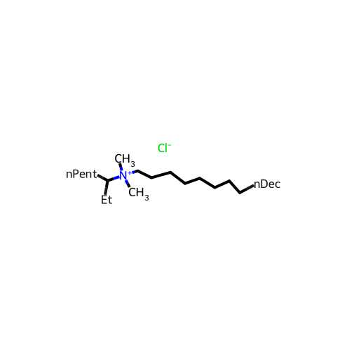 CCCCCCCCCCCCCCCCCC[N+](C)(C)C(CC)CCCCC.[Cl-]